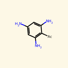 CC(=O)c1c(N)cc(N)cc1N